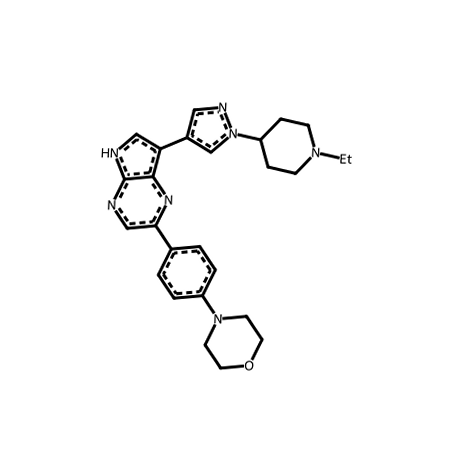 CCN1CCC(n2cc(-c3c[nH]c4ncc(-c5ccc(N6CCOCC6)cc5)nc34)cn2)CC1